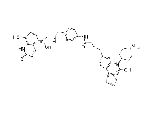 N[C@H]1CC[C@H](N(C(=O)O)c2cc(CCCC(=O)Nc3ccc(CNC[C@H](O)c4ccc(O)c5[nH]c(=O)ccc45)nc3)ccc2-c2ccccc2)CC1